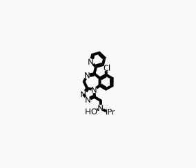 CC(C)N(O)Cc1nnc2n1-c1cccc(Cl)c1C(c1ccccn1)=NC2